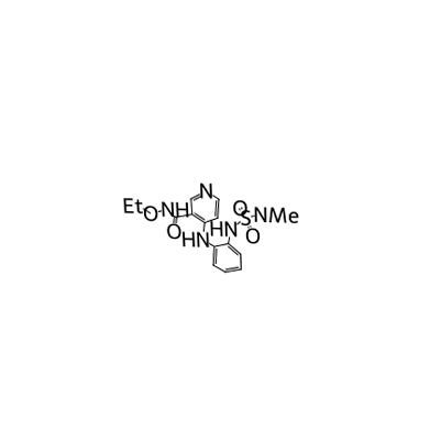 CCONC(=O)c1cnccc1Nc1ccccc1NS(=O)(=O)NC